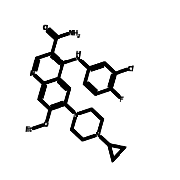 CCOc1cc2ncc(C(N)=O)c(Nc3ccc(F)c(Cl)c3)c2cc1N1CCN(C2CC2)CC1